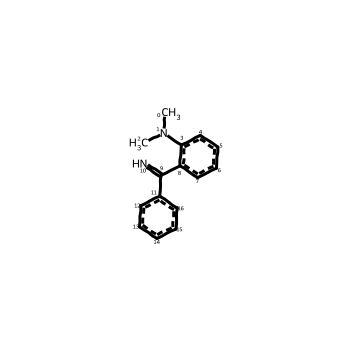 CN(C)c1ccccc1C(=N)c1ccccc1